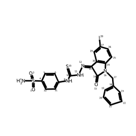 NS(=O)(=O)c1ccc(NC(=S)NN=C2C(=O)N(Cc3ccccc3)c3ccc(I)cc32)cc1